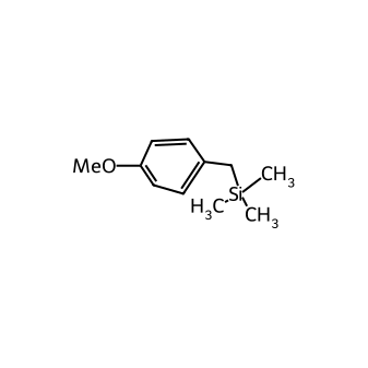 COc1ccc(C[Si](C)(C)C)cc1